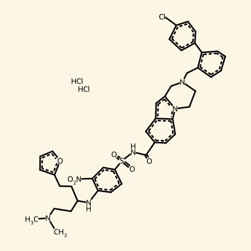 CN(C)CCC(CCc1ccco1)Nc1ccc(S(=O)(=O)NC(=O)c2ccc3c(c2)cc2n3CCN(Cc3ccccc3-c3ccc(Cl)cc3)C2)cc1[N+](=O)[O-].Cl.Cl